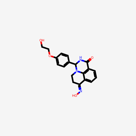 O=C1NC(c2ccc(OCCO)cc2)N2CCC(=NO)c3cccc1c32